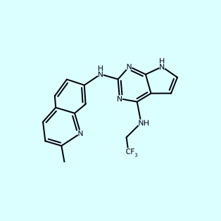 Cc1ccc2ccc(Nc3nc(NCC(F)(F)F)c4cc[nH]c4n3)cc2n1